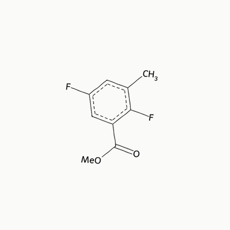 COC(=O)c1cc(F)cc(C)c1F